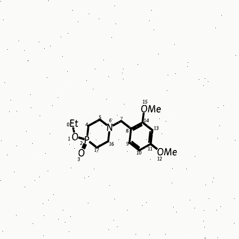 CCOP1(=O)CCN(Cc2ccc(OC)cc2OC)CC1